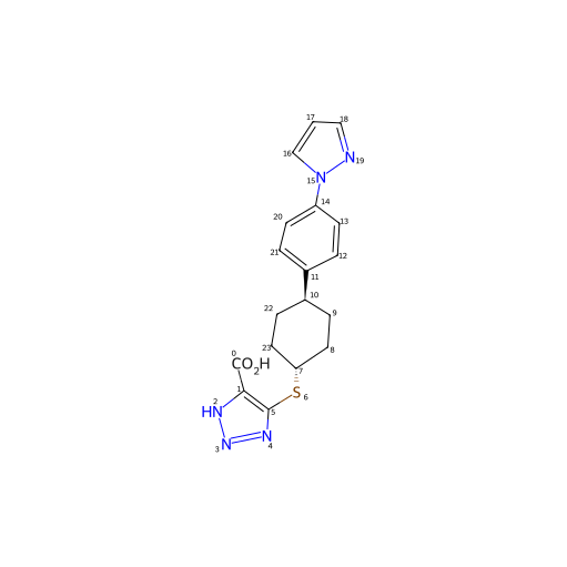 O=C(O)c1[nH]nnc1S[C@H]1CC[C@H](c2ccc(-n3cccn3)cc2)CC1